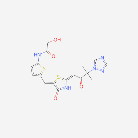 CC(C)(C(=O)/C=c1\[nH]c(=O)/c(=C/c2ccc(NC(=O)CO)s2)s1)n1cncn1